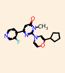 Cn1c(N2C=COC(C3CCCC3)=C2)nc(-c2ccncc2F)cc1=O